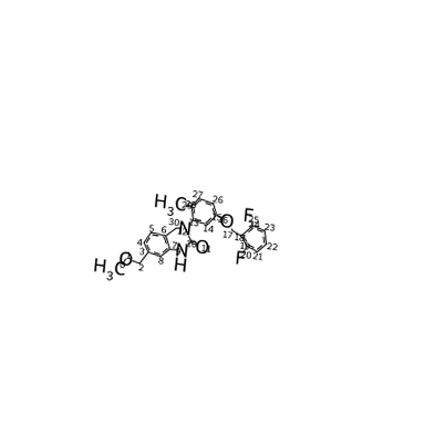 COCc1ccc2c(c1)NC(=O)N(c1cc(OCc3c(F)cccc3F)ccc1C)C2